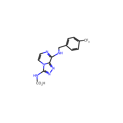 O=C(O)Nc1nnc2c(NCc3ccc(C(F)(F)F)cc3)nccn12